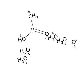 CC(=O)O.O.O.O.O.[Cr]